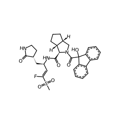 CS(=O)(=O)/C(F)=C/[C@@H](C[C@H]1CCNC1=O)NC(=O)[C@H]1[C@@H]2CCC[C@@H]2CN1C(=O)C1(O)c2ccccc2-c2ccccc21